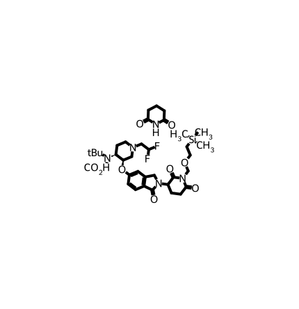 CC(C)(C)N(C(=O)O)[C@@H]1CCN(CC(F)F)C[C@H]1Oc1ccc2c(c1)CN(C1CCC(=O)N(COCC[Si](C)(C)C)C1=O)C2=O.O=C1CCCC(=O)N1